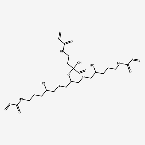 C=CC(=O)NCCCC(O)COCC(COCC(O)CCCNC(=O)C=C)OC(O)(C=C)CCNC(=O)C=C